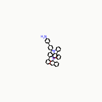 Nc1ccc(C2C=CC(c3ccc(-c4ccccc4)c(N(c4ccccc4)c4cccc5ccccc45)c3)(n3c4ccccc4c4ccccc43)C=C2)cc1